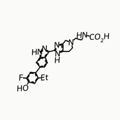 CCc1cc(O)c(F)cc1-c1ccc2c(-c3nc4c([nH]3)CCN(CCNC(=O)O)C4)n[nH]c2c1